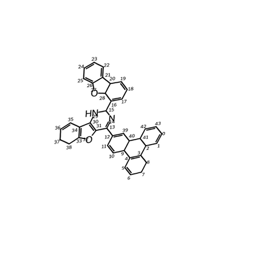 C1=CC2C3=C(C=CCC3)C3C=CC(C4=NC(C5=CC=CC6c7ccccc7OC56)Nc5c4oc4c5C=CCC4)=CC3C2C=C1